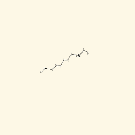 CCCCCCC[CH]SCC